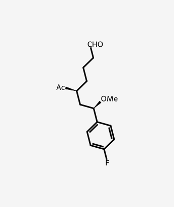 CO[C@H](C[C@H](CCCC=O)C(C)=O)c1ccc(F)cc1